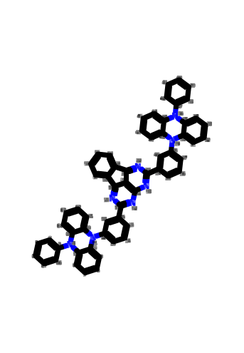 c1ccc(N2c3ccccc3N(c3cccc(-c4nc5c6c(nc(-c7cccc(N8c9ccccc9N(c9ccccc9)c9ccccc98)c7)nc6n4)-c4ccccc4-5)c3)c3ccccc32)cc1